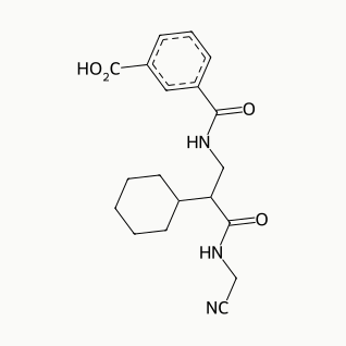 N#CCNC(=O)C(CNC(=O)c1cccc(C(=O)O)c1)C1CCCCC1